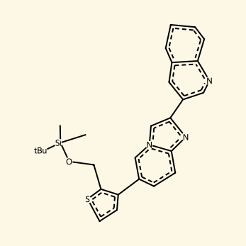 CC(C)(C)[Si](C)(C)OCc1sccc1-c1ccc2nc(-c3cnc4ccccc4c3)cn2c1